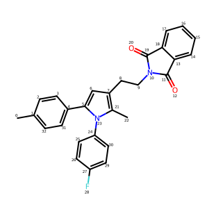 Cc1ccc(-c2cc(CCN3C(=O)c4ccccc4C3=O)c(C)n2-c2ccc(F)cc2)cc1